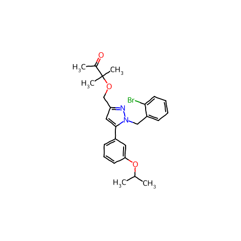 CC(=O)C(C)(C)OCc1cc(-c2cccc(OC(C)C)c2)n(Cc2ccccc2Br)n1